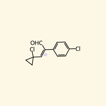 O=C/C(=C\C1(Cl)CC1)c1ccc(Cl)cc1